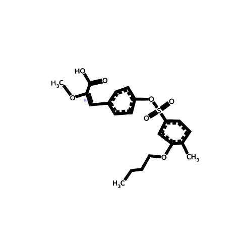 CCCCOc1cc(S(=O)(=O)Oc2ccc(/C=C(/OC)C(=O)O)cc2)ccc1C